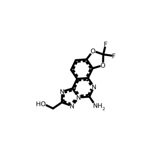 Nc1nc2c3c(ccc2c2nc(CO)nn12)OC(F)(F)O3